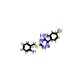 Brc1ccc2c(c1)[nH]c1nc(SCc3ccccc3I)nnc12